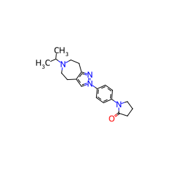 CC(C)N1CCc2cn(-c3ccc(N4CCCC4=O)cc3)nc2CC1